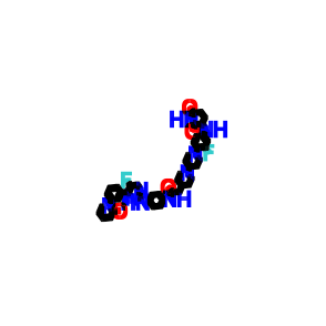 O=C1CCC(Nc2ccc(N3CCC(N4CCC(CC(=O)N[C@H]5CC[C@H](Nc6ncc(F)c(-c7cccc(-n8ccccc8=O)c7)n6)CC5)CC4)CC3)c(F)c2)C(=O)N1